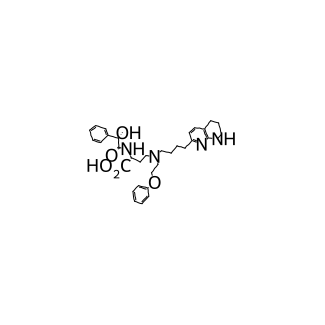 O=C(O)[C@H](CCN(CCCCc1ccc2c(n1)NCCC2)CCOc1ccccc1)NC(=O)[C@@H](O)c1ccccc1